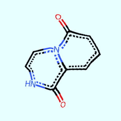 O=c1[nH]ccn2c(=O)cccc12